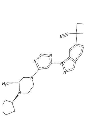 C[C@@H]1CN(c2cc(-n3ncc4ccc(C5(C#N)CCC5)cc43)ncn2)CCN1[C@H]1CCOC1